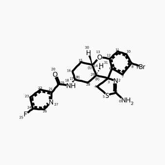 NC1=NC2(CS1)c1cc(Br)ccc1O[C@H]1CC[C@@H](NC(=O)c3ccc(F)cn3)C[C@@H]12